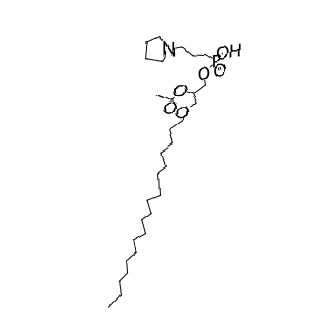 CCCCCCCCCCCCCCCCCCOCC(COP(=O)(O)CCCN1CCCC1)OC(C)=O